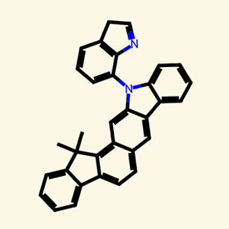 CC1(C)c2ccccc2-c2ccc3cc4c5ccccc5n(-c5cccc6c5N=CC6)c4cc3c21